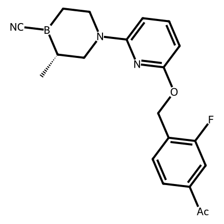 CC(=O)c1ccc(COc2cccc(N3CCB(C#N)[C@@H](C)C3)n2)c(F)c1